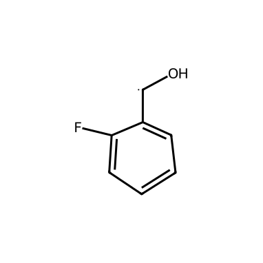 O[CH]c1ccccc1F